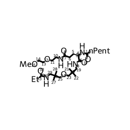 CCCCCC(=O)N[C@H](CCC(=O)NCCOCCOC)C(=O)NCC(C)(C)COCC(C)(C)CNC(=O)CC